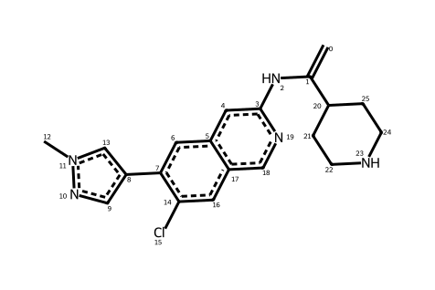 C=C(Nc1cc2cc(-c3cnn(C)c3)c(Cl)cc2cn1)C1CCNCC1